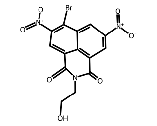 O=C1c2cc([N+](=O)[O-])cc3c(Br)c([N+](=O)[O-])cc(c23)C(=O)N1CCO